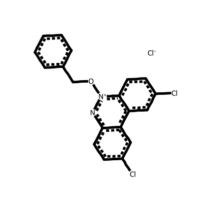 Clc1ccc2n[n+](OCc3ccccc3)c3ccc(Cl)cc3c2c1.[Cl-]